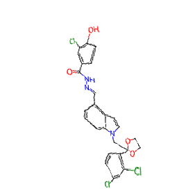 O=C(N/N=C/c1cccc2c1ccn2CC1(c2ccc(Cl)cc2Cl)OCCO1)c1ccc(O)c(Cl)c1